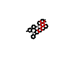 CC1C=CC=C(n2c3ccccc3c3cccc(-c4ccccc4N(c4ccccc4-c4ccc(C(C)(C)C)cc4)c4ccccc4-c4cccc5cccc(-c6ccccc6)c45)c32)C1